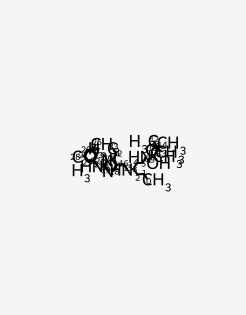 CCCC(CCNC(C)(O)OC(C)(C)C)NCc1cnc(Nc2cc(C)cc(C)c2)nc1CC